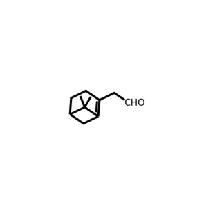 CC1(C)C2=C(CC=O)CCC1C2